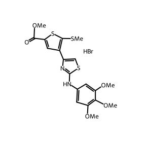 Br.COC(=O)c1cc(-c2csc(Nc3cc(OC)c(OC)c(OC)c3)n2)c(SC)s1